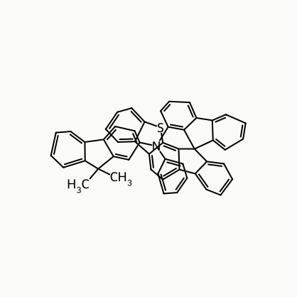 CC1(C)c2ccccc2-c2ccc(N(c3ccccc3)c3cccc4c3C3(c5ccccc5-4)c4ccccc4-c4ccc5c(sc6ccccc65)c43)cc21